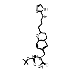 CC(C)(C)OC(=O)N[C@@H](Cc1ccc2c(c1)CCC(CCCNc1ncc[nH]1)O2)C(=O)O